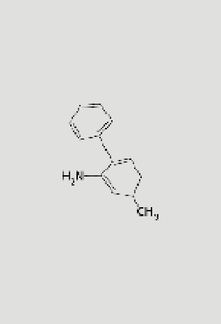 CC1C=C(N)C(c2ccccc2)=CC1